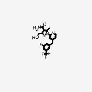 Cc1c(C(N)=O)c(CO)nn1-c1cc(Cc2cc(F)cc(C(F)(F)F)c2)ccn1